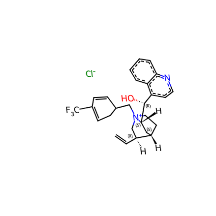 C=C[C@H]1C[N+]2(CC3C=CC(C(F)(F)F)=CC3)CC[C@H]1C[C@H]2[C@H](O)c1ccnc2ccccc12.[Cl-]